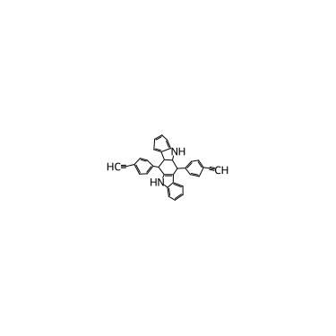 C#Cc1ccc(C2c3c([nH]c4ccccc34)C(c3ccc(C#C)cc3)C3c4ccccc4NC23)cc1